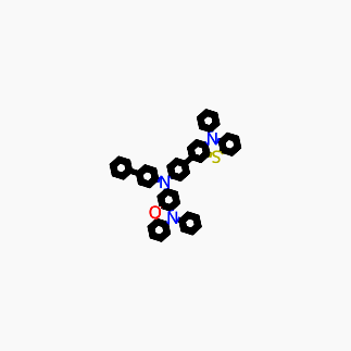 c1ccc(-c2ccc(N(c3ccc(-c4ccc5c(c4)Sc4ccccc4N5c4ccccc4)cc3)c3ccc4c(c3)Oc3ccccc3N4c3ccccc3)cc2)cc1